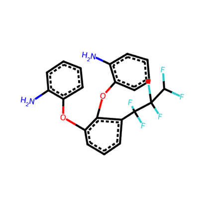 Nc1ccccc1Oc1cccc(C(F)(F)C(F)(F)C(F)F)c1Oc1ccccc1N